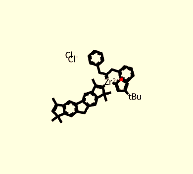 CC1=CC(C)(C)c2cc3c(cc21)-c1cc2c(cc1C3)C(C)(C)[C]([Zr+2]([C]1=CC(C(C)(C)C)=CC1)=[C](Cc1ccccc1)Cc1ccccc1)=C2C.[Cl-].[Cl-]